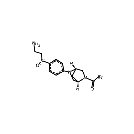 CC(C)C(=O)N1C[C@@H]2C[C@H]1CN2c1ccc([S+]([O-])CCN)cc1